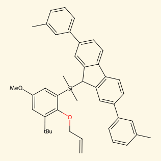 C=CCOc1c(C(C)(C)C)cc(OC)cc1[Si](C)(C)C1c2cc(-c3cccc(C)c3)ccc2-c2ccc(-c3cccc(C)c3)cc21